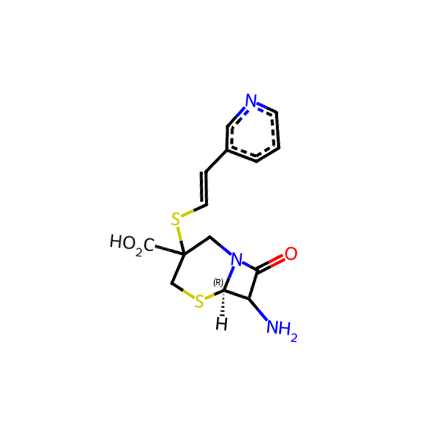 NC1C(=O)N2CC(SC=Cc3cccnc3)(C(=O)O)CS[C@H]12